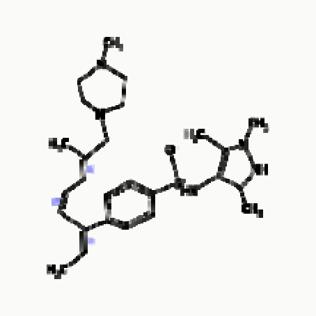 C\C=C(/C=C\C=C(/C)CN1CCN(C)CC1)c1ccc([S+]([O-])NC2=C(C)N(C)NC2C)cc1